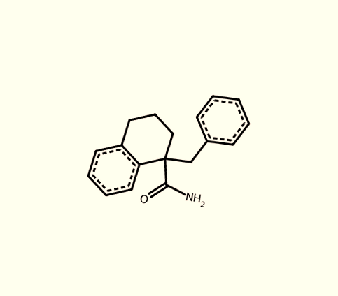 NC(=O)C1(Cc2ccccc2)CCCc2ccccc21